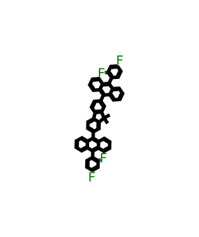 CC1(C)c2cc(-c3c4ccccc4c(-c4ccc(F)cc4F)c4ccccc34)ccc2-c2ccc(-c3c4ccccc4c(-c4ccc(F)cc4F)c4ccccc34)cc21